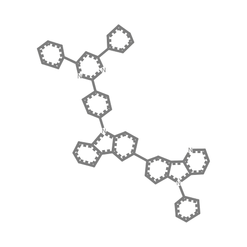 c1ccc(-c2cc(-c3ccccc3)nc(-c3ccc(-n4c5ccccc5c5cc(-c6ccc7c(c6)c6ncccc6n7-c6ccccc6)ccc54)cc3)n2)cc1